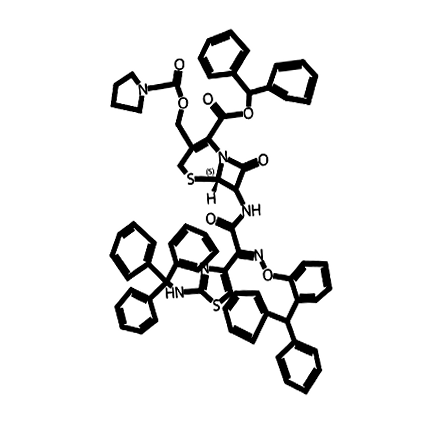 O=C(NC1C(=O)N2C(C(=O)OC(c3ccccc3)c3ccccc3)=C(COC(=O)N3CCCC3)CS[C@@H]12)C(=NOc1ccccc1C(c1ccccc1)c1ccccc1)c1csc(NC(c2ccccc2)(c2ccccc2)c2ccccc2)n1